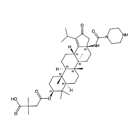 CC(C)C1=C2[C@H]3CC[C@@H]4[C@@]5(C)CC[C@H](OC(=O)CC(C)(C)C(=O)O)C(C)(C)[C@@H]5CC[C@@]4(C)[C@]3(C)CC[C@@]2(NC(=O)N2CCNCC2)CC1=O